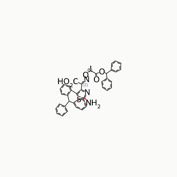 C[C@H](O/N=C(\C(=O)O)c1nc(N)sc1-c1ccccc1C(c1ccccc1)c1ccccc1)C(=O)OC(c1ccccc1)c1ccccc1